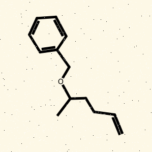 C=CCCC(C)OCc1ccccc1